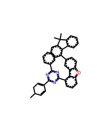 CC1C=CC(c2nc(-c3ccccc3)nc(-c3cccc4oc5ccc(-c6cccc7c6-c6ccccc6C7(C)C)cc5c34)n2)=CC1